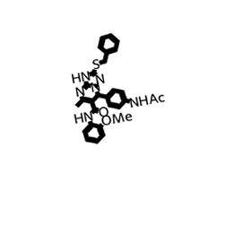 COc1ccccc1NC(=O)C1=C(C)N=C2NC(SCc3ccccc3)=NN2C1c1ccc(NC(C)=O)cc1